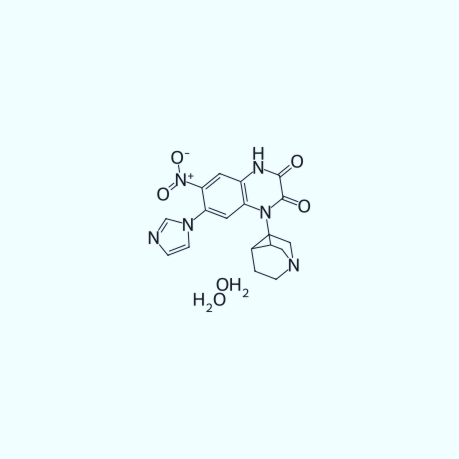 O.O.O=c1[nH]c2cc([N+](=O)[O-])c(-n3ccnc3)cc2n(C2CN3CCC2CC3)c1=O